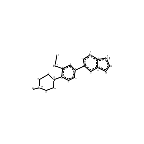 CNc1cc(-c2cnc3[nH]ccc3c2)ccc1N1CCN(C)CC1